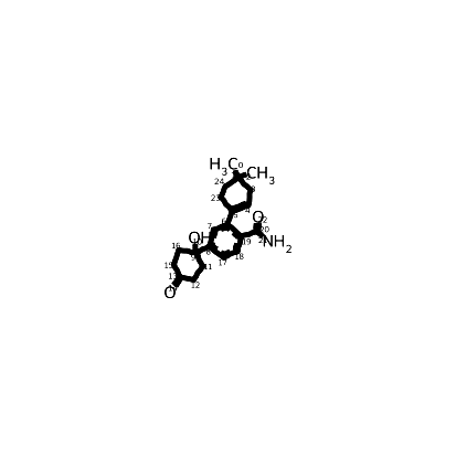 CC1(C)CC=C(c2cc(C3(O)CCC(=O)CC3)ccc2C(N)=O)CC1